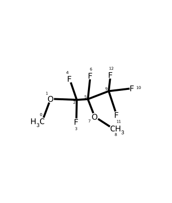 COC(F)(F)C(F)(OC)C(F)(F)F